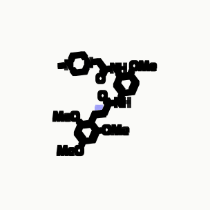 COc1cc(OC)c(/C=C/C(=O)Nc2ccc(OC)c(NC(=O)CN3CCN(C)CC3)c2)c(OC)c1